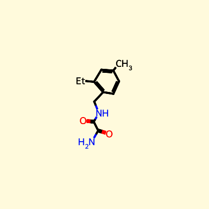 CCc1cc(C)ccc1CNC(=O)C(N)=O